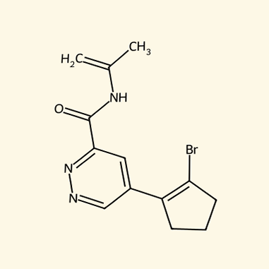 C=C(C)NC(=O)c1cc(C2=C(Br)CCC2)cnn1